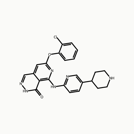 O=c1[nH]ncc2cc(Oc3ccccc3Cl)nc(Nc3ccc(C4CCNCC4)cn3)c12